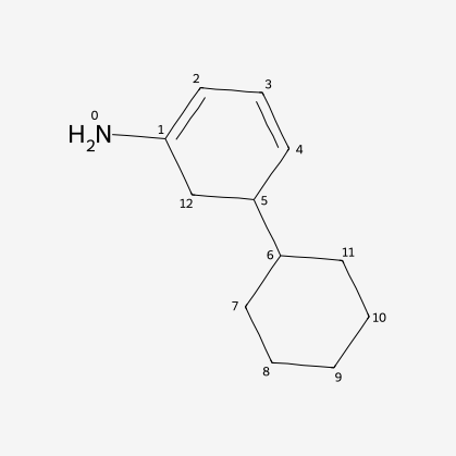 NC1=CC=CC(C2CCCCC2)C1